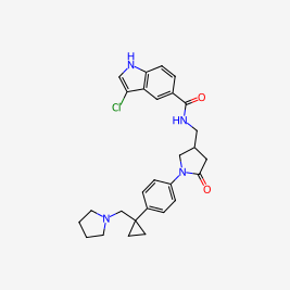 O=C(NCC1CC(=O)N(c2ccc(C3(CN4CCCC4)CC3)cc2)C1)c1ccc2[nH]cc(Cl)c2c1